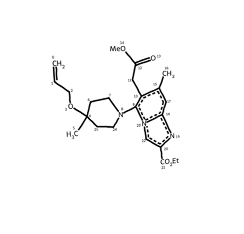 C=CCOC1(C)CCN(c2c(CC(=O)OC)c(C)cc3nc(C(=O)OCC)cn23)CC1